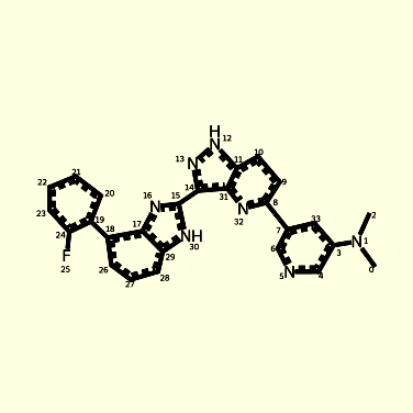 CN(C)c1cncc(-c2ccc3[nH]nc(-c4nc5c(-c6ccccc6F)cccc5[nH]4)c3n2)c1